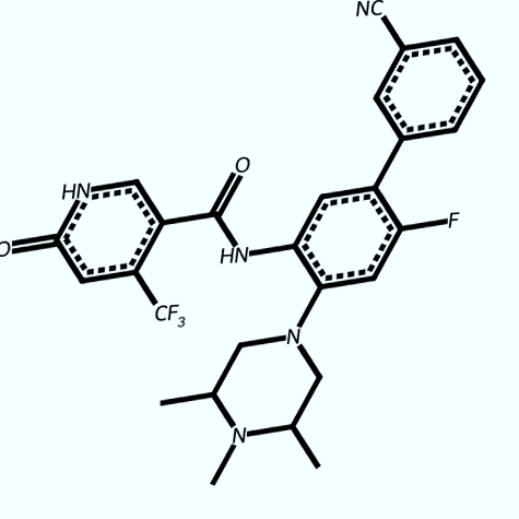 CC1CN(c2cc(F)c(-c3cccc(C#N)c3)cc2NC(=O)c2c[nH]c(=O)cc2C(F)(F)F)CC(C)N1C